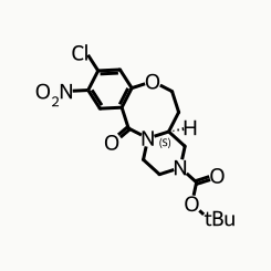 CC(C)(C)OC(=O)N1CCN2C(=O)c3cc([N+](=O)[O-])c(Cl)cc3OCC[C@H]2C1